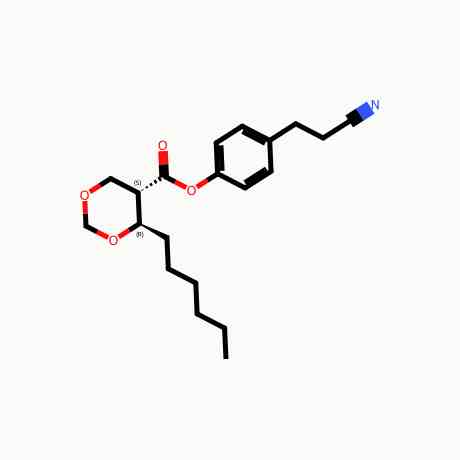 CCCCCC[C@H]1OCOC[C@@H]1C(=O)Oc1ccc(CCC#N)cc1